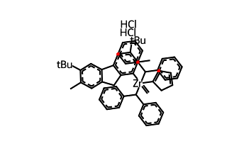 Cl.Cl.[CH2]=[Zr]([C]1=CC=CC1)([c]1c(C)c(C(C)(C)C)cc2c1Cc1cc(C)c(C(C)(C)C)cc1-2)([CH](c1ccccc1)c1ccccc1)[CH](c1ccccc1)c1ccccc1